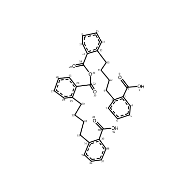 O=C(O)c1ccccc1CCCCc1ccccc1C(=O)OC(=O)c1ccccc1CCCCc1ccccc1C(=O)O